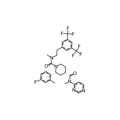 Cc1cc(F)ccc1[C@H]1C[C@@H](C(=O)N(C)c2ccncn2)CCN1C(=O)N(C)CCc1cc(C(F)(F)F)cc(C(F)(F)F)c1